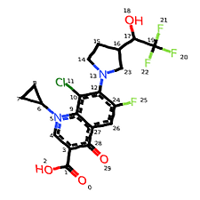 O=C(O)c1cn(C2CC2)c2c(Cl)c(N3CCC(C(O)C(F)(F)F)C3)c(F)cc2c1=O